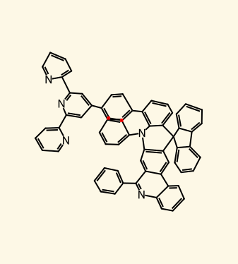 c1ccc(-c2nc3ccccc3c3cc4c(cc23)N(c2ccccc2)c2c(-c3ccc(-c5cc(-c6ccccn6)nc(-c6ccccn6)c5)cc3)cccc2C42c3ccccc3-c3ccccc32)cc1